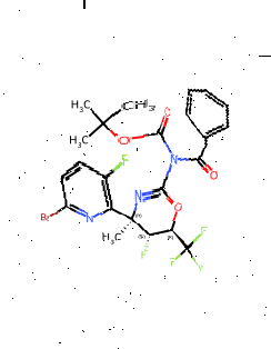 CC(C)(C)OC(=O)N(C(=O)c1ccccc1)C1=N[C@](C)(c2nc(Br)ccc2F)[C@@H](F)[C@H](C(F)(F)F)O1